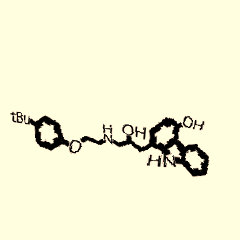 CC(C)(C)c1ccc(OCCNCC(O)Cc2ccc(O)c3c2[nH]c2ccccc23)cc1